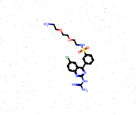 N=C(N)Nc1nc(-c2cccc(S(=O)(=O)NCCOCCOCCN)c2)c2cc(Cl)ccc2n1